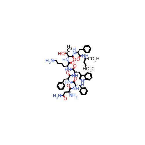 C[C@@H](O)[C@H](NC(=O)[C@H](CCCCN)NC(=O)[C@@H](Cc1c[nH]c2ccccc12)NC(=O)[C@H](Cc1ccccc1)NC(=O)[C@H](Cc1ccccc1)NC(=O)[C@@H](N)CC(N)=O)C(=O)N[C@@H](Cc1ccccc1)C(=O)N[C@H](CCC(=O)O)C(=O)O